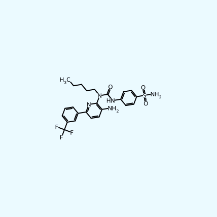 CCCCCN(C(=O)Nc1ccc(S(N)(=O)=O)cc1)c1nc(-c2cccc(C(F)(F)F)c2)ccc1N